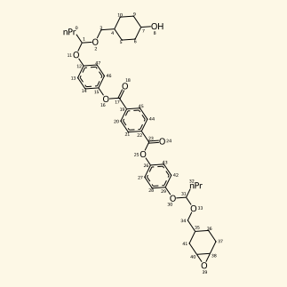 CCCC(OCC1CCC(O)CC1)Oc1ccc(OC(=O)c2ccc(C(=O)Oc3ccc(OC(CCC)OCC4CCC5OC5C4)cc3)cc2)cc1